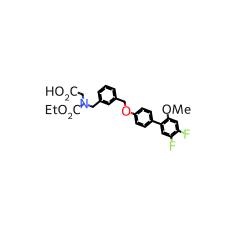 CCOC(=O)N(CC(=O)O)Cc1cccc(COc2ccc(-c3cc(F)c(F)cc3OC)cc2)c1